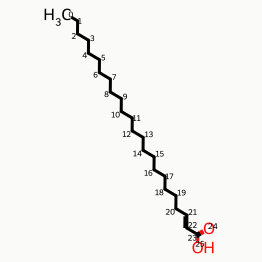 CCCCCCCCCCCCCCCCCCCCC/C=C/C(=O)O